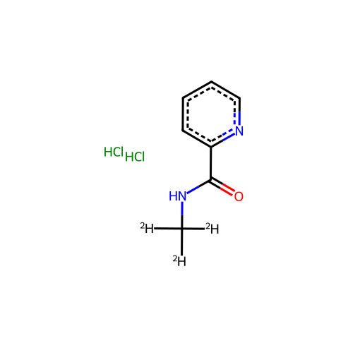 Cl.Cl.[2H]C([2H])([2H])NC(=O)c1ccccn1